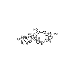 CCn1c(-c2cccnc2COC)c2c3cc(ccc31)-c1cc(O)cc(c1)C[C@H](NC(=O)C(C(C)C)N(C)C(=O)[C@@H]1CCN(C(=O)C#CC(C)(C)N(C)C)C1)C(=O)N1CCC[C@H](N1)C(=O)OCC(C)(C)C2